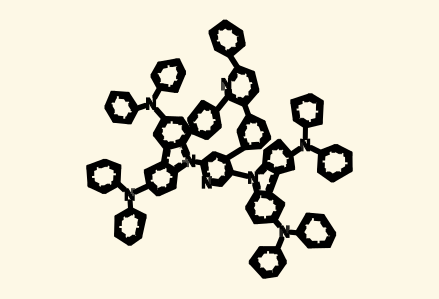 c1ccc(-c2ccc(-c3cccc(-c4cc(-n5c6ccc(N(c7ccccc7)c7ccccc7)cc6c6cc(N(c7ccccc7)c7ccccc7)ccc65)ncc4-n4c5ccc(N(c6ccccc6)c6ccccc6)cc5c5cc(N(c6ccccc6)c6ccccc6)ccc54)c3)c(-c3ccccc3)n2)cc1